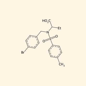 CCC(C(=O)O)N(Cc1ccc(Br)cc1)S(=O)(=O)c1ccc(C)cc1